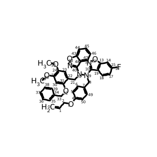 C=CCOc1ccc(CN(c2noc3cc(F)ccc23)N(Cc2cc(OC)c(OC)cc2OCc2ccccc2)c2noc3ccccc23)cc1